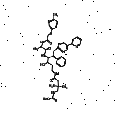 COC(=O)NCC(C)(C)CC(=O)NCCC(O)C(NC(=O)C(NC(=O)COc1ccc(C)nc1)C(C)(C)C)C(Cc1ccc(-c2ccccn2)cc1)c1ccccc1